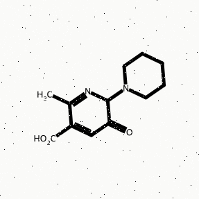 CC1=NC(N2CCCCC2)C(=O)C=C1C(=O)O